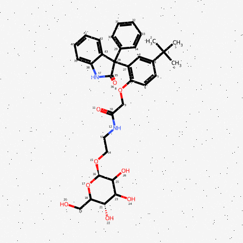 CC(C)(C)c1ccc(OCC(=O)NCCO[C@@H]2OC(CO)[C@@H](O)C(O)C2O)c(C2(c3ccccc3)C(=O)Nc3ccccc32)c1